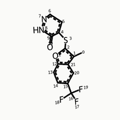 Cc1c(Sc2ccn[nH]c2=O)oc2ccc(C(F)(F)F)cc12